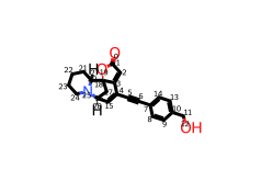 O=C1C=C2C(C#Cc3ccc(CO)cc3)=C[C@@H]3C[C@@]2(O1)[C@H]1CCCCN31